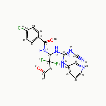 CC(=O)CC(F)(F)C(NC(=O)c1ccc(Cl)cc1)N/C(=N/C#N)Nc1cccnc1